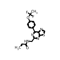 C=CC(=O)NCc1nc(-c2ccc(OC(C)(F)F)cc2)c2ncsc2n1